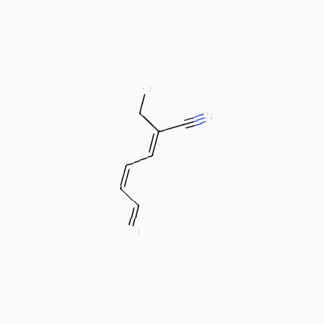 C=C/C=C\C=C(\C#N)CC